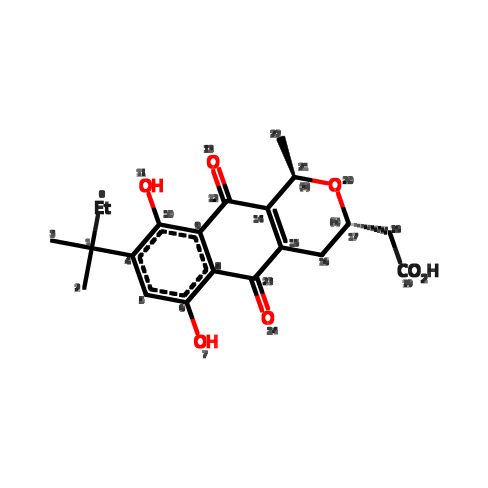 CCC(C)(C)c1cc(O)c2c(c1O)C(=O)C1=C(C[C@@H](CC(=O)O)O[C@@H]1C)C2=O